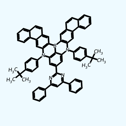 CC(C)(C)c1ccc(N2c3cc4c(ccc5ccccc54)cc3B3c4cc5ccc6ccccc6c5cc4N(c4ccc(C(C)(C)C)cc4)c4cc(-c5nc(-c6ccccc6)cc(-c6ccccc6)n5)cc2c43)cc1